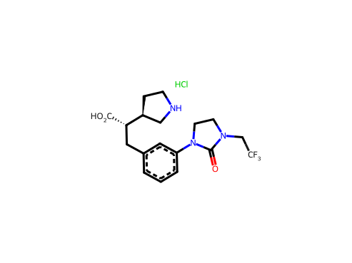 Cl.O=C(O)[C@@H](Cc1cccc(N2CCN(CC(F)(F)F)C2=O)c1)[C@H]1CCNC1